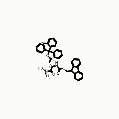 CN(C)C(=O)[C@H](CC(=O)OC(c1ccccc1)(c1ccccc1)c1ccccc1Cl)NC(=O)OCC1c2ccccc2-c2ccccc21